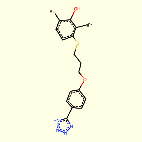 CCCc1c(SCCCOc2ccc(-c3nnn[nH]3)cc2)ccc(C(C)=O)c1O